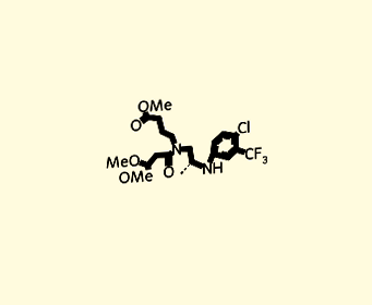 COC(=O)CCCN(C[C@@H](C)Nc1ccc(Cl)c(C(F)(F)F)c1)C(=O)CC(OC)OC